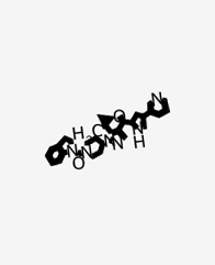 CC1(c2c(C(=O)C3CC(c4cccnc4)CN3)cnn2C2CCN(C(=O)N3CCc4ccccc43)CC2)CC1